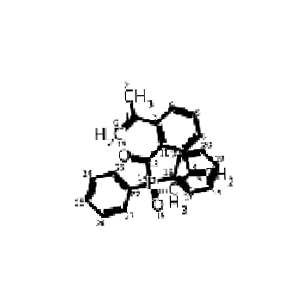 C=C(C)c1cccc(C(=C)C)c1C(=O)P(=O)(c1ccccc1)c1ccccc1